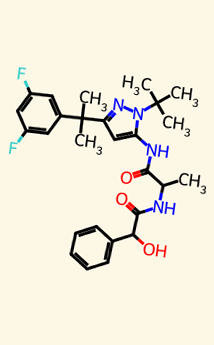 CC(NC(=O)C(O)c1ccccc1)C(=O)Nc1cc(C(C)(C)c2cc(F)cc(F)c2)nn1C(C)(C)C